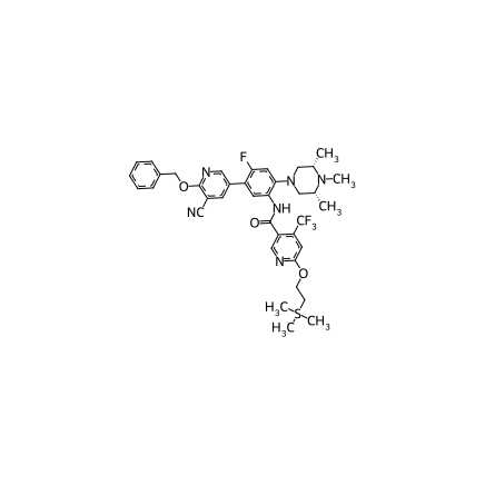 C[C@@H]1CN(c2cc(F)c(-c3cnc(OCc4ccccc4)c(C#N)c3)cc2NC(=O)c2cnc(OCCS(C)(C)C)cc2C(F)(F)F)C[C@H](C)N1C